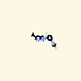 Fc1ccc(N2CC(F)C2)cc1-n1cc2cc(C3CC3)cnc2n1